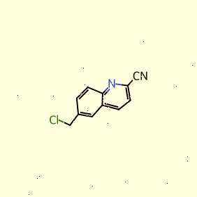 N#Cc1ccc2cc(CCl)ccc2n1